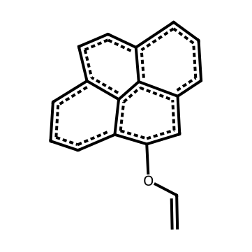 C=COc1cc2cccc3ccc4cccc1c4c32